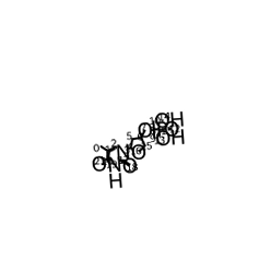 Cc1cn(C2CC(OC(C)(C)P(=O)(O)O)CO2)c(=O)[nH]c1=O